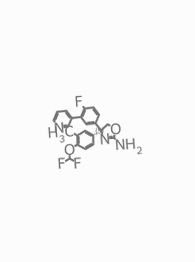 Cc1cc([C@]2(c3ccc(F)c(-c4cccnc4)c3)COC(N)=N2)ccc1OC(F)F